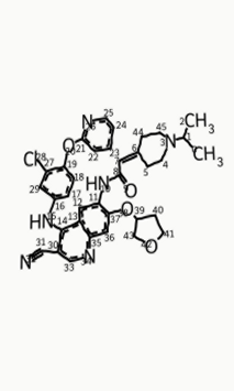 CC(C)N1CCC(=CC(=O)Nc2cc3c(Nc4ccc(Oc5ccccn5)c(Cl)c4)c(C#N)cnc3cc2OC2CCOC2)CC1